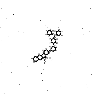 CC1(C)c2cc(-c3cccc(-c4ccc(N(c5ccccc5)c5ccccc5)cc4)c3)ccc2-c2cc3ccccc3cc21